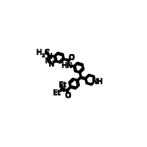 CCN(CC)C(=O)c1ccc(C(=C2CCNCC2)c2cccc(NC(=O)c3ccc4c(c3)nnn4C)c2)cc1